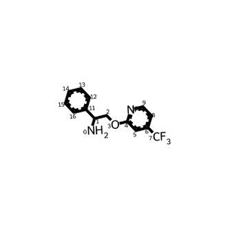 NC(COc1cc(C(F)(F)F)ccn1)c1ccccc1